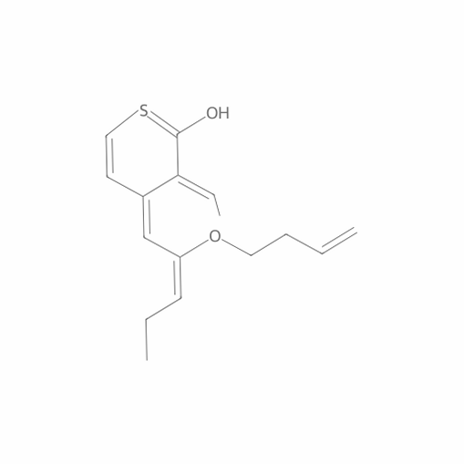 C=CCCOC(/C=C(/C=C\C)C(=C/C)\C(O)=S)=C/CC